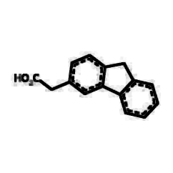 O=C(O)Cc1ccc2c(c1)-c1ccccc1C2